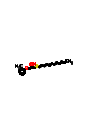 CCCCCCCCCCCCSCC(O)COc1ccccc1C